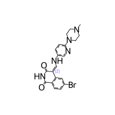 CN1CCN(c2ccc(N/C=C3\C(=O)NC(=O)c4ccc(Br)cc43)cn2)CC1